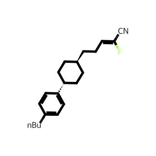 CCCCc1ccc([C@H]2CC[C@H](CC/C=C(\F)C#N)CC2)cc1